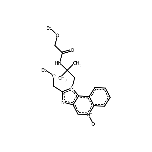 CCOCC(=O)NC(C)(C)Cn1c(COCC)nc2c[n+]([O-])c3ccccc3c21